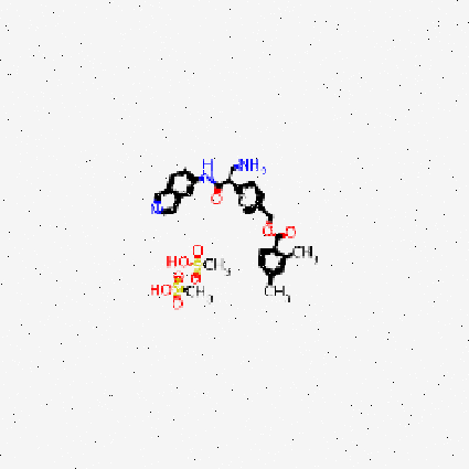 CS(=O)(=O)O.CS(=O)(=O)O.Cc1ccc(C(=O)OCc2ccc([C@H](CN)C(=O)Nc3ccc4cnccc4c3)cc2)c(C)c1